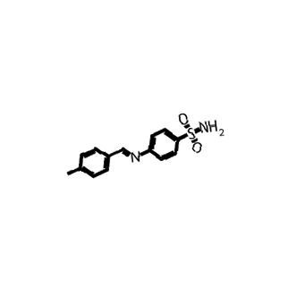 Cc1ccc(C=Nc2ccc(S(N)(=O)=O)cc2)cc1